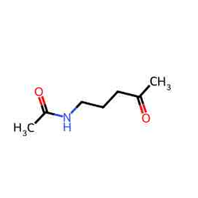 CC(=O)CCCNC(C)=O